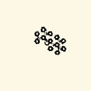 c1ccc(N(c2ccccc2)c2cc(N3CCCc4c3cccc4N(c3ccccc3)c3cc(N(c4ccccc4)c4ccccc4)cc(N(c4ccccc4)c4ccccc4)c3)cc(N(c3ccccc3)c3ccccc3)c2)cc1